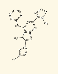 Cc1c(-c2ccn(C)n2)cn2nc(-c3nccn3C)nc(Nc3ccccn3)c12